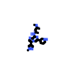 C/N=C(C)\C=C(/C)Nc1nc(C2=CCCNC2)cn2c(-c3cnn(C)c3)cnc12